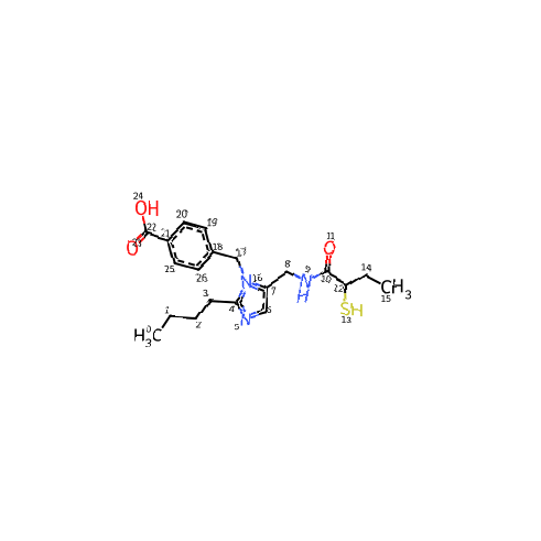 CCCCc1ncc(CNC(=O)C(S)CC)n1Cc1ccc(C(=O)O)cc1